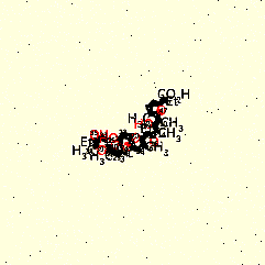 CCC(C(=O)O)C1CC[C@H](C)C([C@@H](C)[C@H](O)[C@H](C)C(=O)[C@H](CC)[C@H]2O[C@]3(C=C[C@@H](O)[C@]4(CC[C@@](C)([C@H]5CC[C@](O)(CC)[C@H](C)O5)O4)O3)[C@H](C)C[C@@H]2C)O1